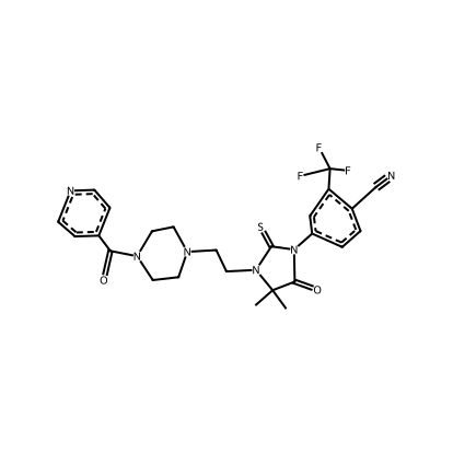 CC1(C)C(=O)N(c2ccc(C#N)c(C(F)(F)F)c2)C(=S)N1CCN1CCN(C(=O)c2ccncc2)CC1